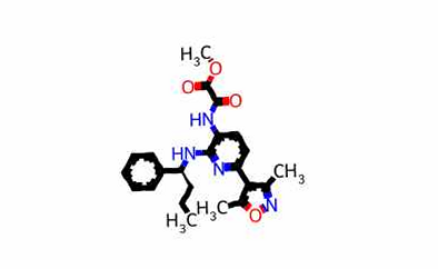 CCC[C@H](Nc1nc(-c2c(C)noc2C)ccc1NC(=O)C(=O)OC)c1ccccc1